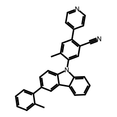 Cc1ccccc1-c1ccc2c(c1)c1ccccc1n2-c1cc(C#N)c(-c2ccncc2)cc1C